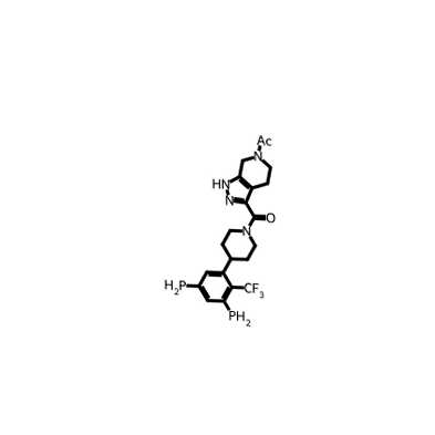 CC(=O)N1CCc2c(C(=O)N3CCC(c4cc(P)cc(P)c4C(F)(F)F)CC3)n[nH]c2C1